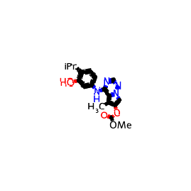 COC(=O)Oc1cn2ncnc(Nc3ccc(C(C)C)c(O)c3)c2c1C